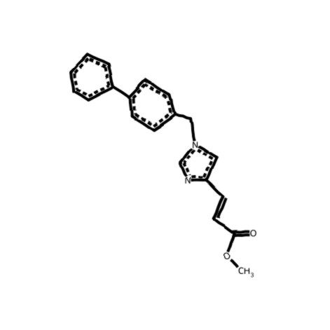 COC(=O)C=Cc1cn(Cc2ccc(-c3ccccc3)cc2)cn1